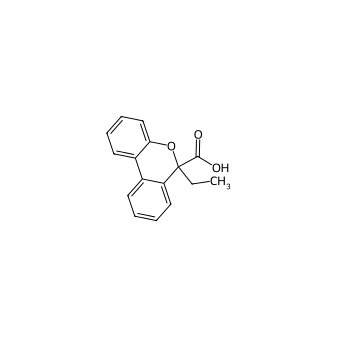 CCC1(C(=O)O)Oc2ccccc2-c2ccccc21